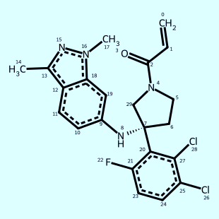 C=CC(=O)N1CC[C@@](Nc2ccc3c(C)nn(C)c3c2)(c2c(F)ccc(Cl)c2Cl)C1